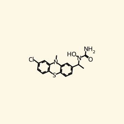 CC(c1ccc2c(c1)N(C)c1cc(Cl)ccc1S2)N(O)C(N)=O